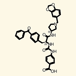 O=C(Nc1ccc(C(=O)O)cc1)N[C@@H](Cc1ccc(C(=O)c2ccccc2)cc1)C(=O)N[C@H]1CCN(Cc2ccc3c(c2)OCO3)C1